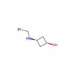 CC(C)CN[C@H]1C[C@@H](O)C1